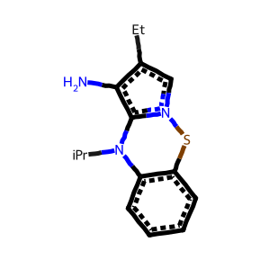 CCc1cn2c(c1N)N(C(C)C)c1ccccc1S2